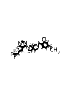 CSc1ccc(CN2CCC3(CCN(c4ncnc5sc(CC(F)(F)F)cc45)C3)C2)c(Cl)c1